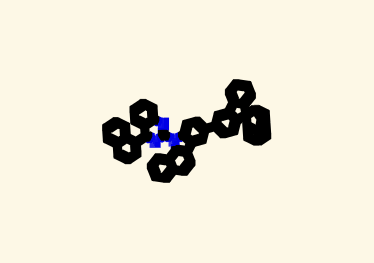 c1ccc2c(c1)-c1cc(-c3ccc4c(c3)c3ccc5ccccc5c3n4-c3nc(-c4cccc5ccccc45)c4ccccc4n3)ccc1C21C2CC3CC(C2)CC1C3